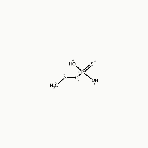 CSOP(O)(O)=S